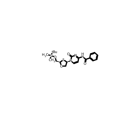 CC(C)(C)[Si](C)(C)OC[C@@H]1OC[C@H](n2ccc(NC(=O)c3ccccc3)nc2=O)S1